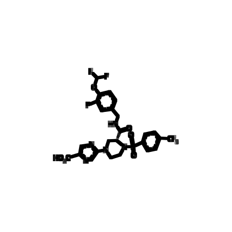 O=C(O)c1cnc(N2CCN(S(=O)(=O)c3ccc(C(F)(F)F)cc3)[C@@H](C(=O)NCc3ccc(OC(F)F)c(F)c3)C2)cn1